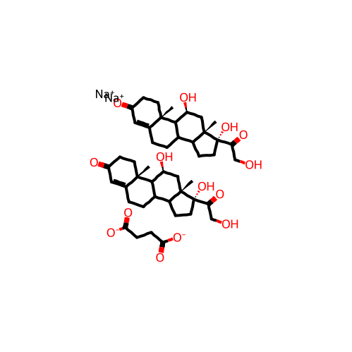 C[C@]12CCC(=O)C=C1CCC1C2[C@@H](O)C[C@@]2(C)C1CC[C@]2(O)C(=O)CO.C[C@]12CCC(=O)C=C1CCC1C2[C@@H](O)C[C@@]2(C)C1CC[C@]2(O)C(=O)CO.O=C([O-])CCC(=O)[O-].[Na+].[Na+]